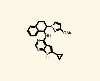 COc1ccn(C2CCc3ccccc3C2Nc2ncnc3[nH]c(C4CC4)cc23)n1